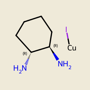 N[C@@H]1CCCC[C@H]1N.[Cu][I]